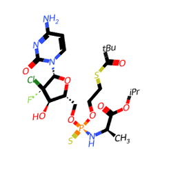 CC(C)OC(=O)[C@@H](C)N[P@](=S)(OCCSC(=O)C(C)(C)C)OC[C@H]1O[C@@H](n2ccc(N)nc2=O)[C@](F)(Cl)[C@@H]1O